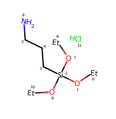 CCO[Si](CCCN)(OCC)OCC.Cl